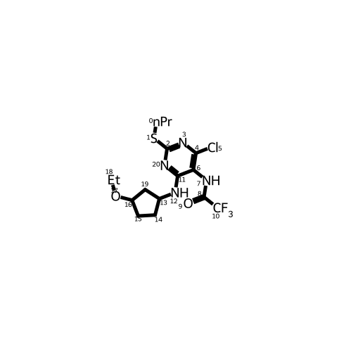 CCCSc1nc(Cl)c(NC(=O)C(F)(F)F)c(NC2CCC(OCC)C2)n1